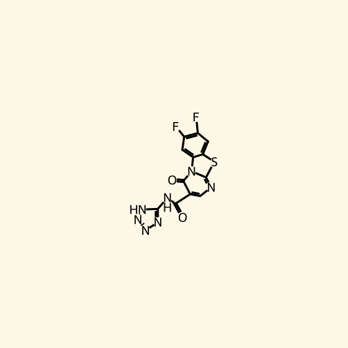 O=C(Nc1nnn[nH]1)c1cnc2sc3cc(F)c(F)cc3n2c1=O